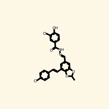 CC1Oc2cc(/C=N/NC(=O)c3ccc(O)c(Cl)c3)cc(/C=C/c3ccc(Cl)cc3)c2O1